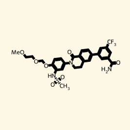 COCCOCOc1ccc(N2CCc3cc(-c4cc(C(N)=O)cc(C(F)(F)F)c4)ccc3C2=O)cc1NS(C)(=O)=O